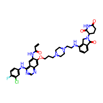 C=CC(=O)Nc1cc2c(Nc3ccc(F)c(Cl)c3)ncnc2cc1OCCCN1CCN(CCNc2cccc3c2CN(C2CCC(=O)NC2=O)C3=O)CC1